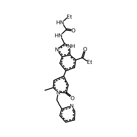 CCNC(=O)Nc1nc2cc(-c3cc(C)n(Cc4ccccn4)c(=O)c3)cc(C(=O)CC)c2[nH]1